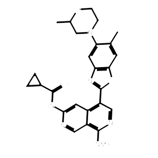 CNc1ncc(-c2nc3cc(N4CCOC(C)C4)c(C)cc3o2)c2cc(NC(=O)C3CC3)ncc12